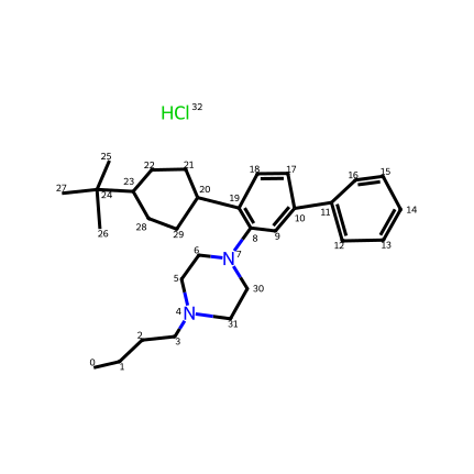 CCCCN1CCN(c2cc(-c3ccccc3)ccc2C2CCC(C(C)(C)C)CC2)CC1.Cl